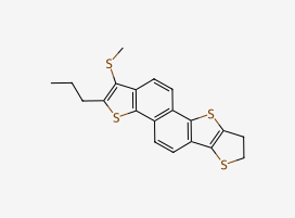 CCCc1sc2c(ccc3c2ccc2c4c(sc23)CCS4)c1SC